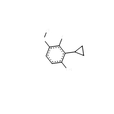 Oc1ccc(OC(F)(F)F)c(F)c1C1CC1